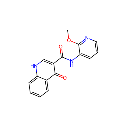 COc1ncccc1NC(=O)c1c[nH]c2ccccc2c1=O